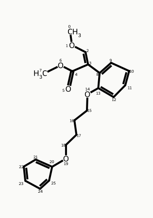 CO/C=C(\C(=O)OC)c1ccccc1OCCCCOc1ccccc1